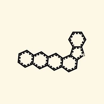 c1ccc2cc3cc4c(ccc5sc6ccccc6c54)cc3cc2c1